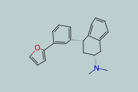 CN(C)[C@H]1Cc2ccccc2[C@@H](c2cccc(-c3ccco3)c2)C1